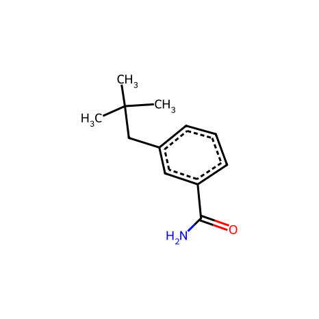 CC(C)(C)Cc1cccc(C(N)=O)c1